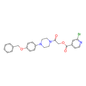 O=C(OCC(=O)N1CCN(c2ccc(OCc3ccccc3)cc2)CC1)c1ccnc(Br)c1